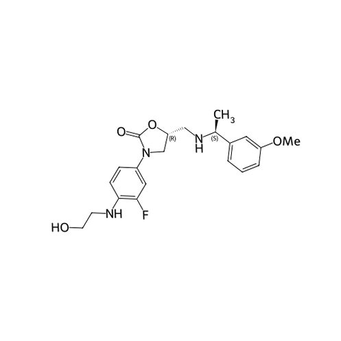 COc1cccc([C@H](C)NC[C@@H]2CN(c3ccc(NCCO)c(F)c3)C(=O)O2)c1